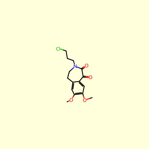 COc1cc2c(cc1OC)C(=O)C(=O)N(CCCCl)CC2